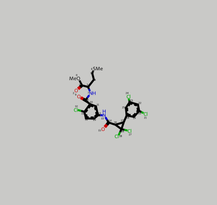 COC(=O)C(CCSC)NC(=O)c1cc(NC(=O)C2C(c3cc(Cl)cc(Cl)c3)C2(Cl)Cl)ccc1Cl